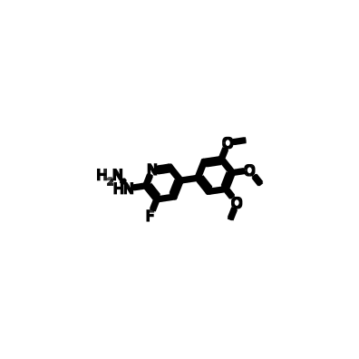 COc1cc(-c2cnc(NN)c(F)c2)cc(OC)c1OC